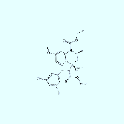 CCOC(=O)N1c2cc(OC)ccc2[C@@](OC)(N(Cc2cc(Cl)cc(Cl)c2)C(=O)OCC)C[C@@H]1C